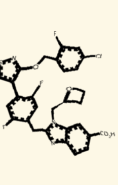 O=C(O)c1ccc2nc(Cc3cc(F)c(-c4csnc4OCc4ccc(Cl)cc4F)cc3F)n(C[C@@H]3CCO3)c2c1